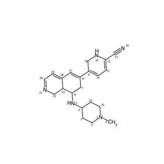 CN1CCC(NC2CC(C3=CC=C(C#N)NC3)=CC3=CC=NCC32)CC1